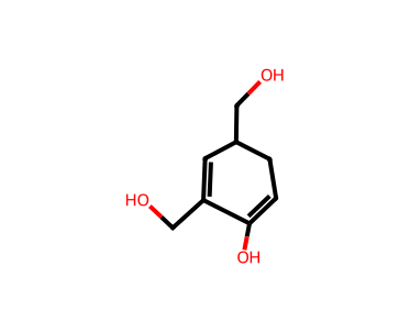 OCC1=CC(CO)CC=C1O